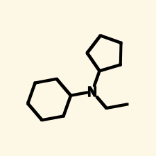 CCN(C1CCCCC1)C1CCCC1